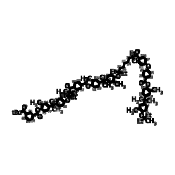 CCC(C)(CC)Oc1ccc(C(C)(C)c2ccc(OC(=O)c3ccc(Oc4ccc(C(=O)C(C)(CC)CCCCCC(CC)(CC)Oc5ccc(C(C)(C)c6ccc(OC(=O)c7ccc(C(=O)C(C)(CC)C(CC)(CC)Oc8ccc(C(C)(C)c9ccc(OC(=O)c%10cccc(C(=O)C(C)(C)C)c%10)c(C)c9)cc8C)cc7)c(C)c6)cc5C)cc4)cc3)c(C)c2)cc1C